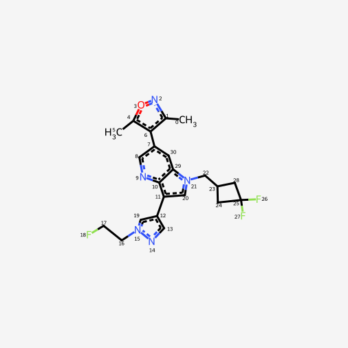 Cc1noc(C)c1-c1cnc2c(-c3cnn(CCF)c3)cn(CC3CC(F)(F)C3)c2c1